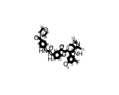 COc1cc(F)c2[nH]c(-c3c(C)nn(C)c3C)c(/C=C3\Oc4ccc(NC(=O)Nc5ccc(C(=O)N6CCOCC6)cc5)cc4C3=O)c2c1